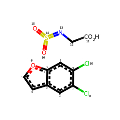 Clc1cc2ccoc2cc1Cl.O=C(O)CN=S(=O)=O